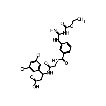 CCOC(=O)NC(=N)Nc1cccc(C(=O)NCC(=O)NC(CC(=O)O)c2cc(Cl)cc(Cl)c2)c1